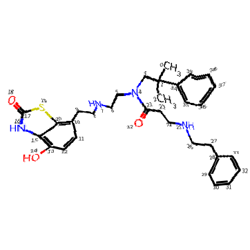 CC(C)(CN(CCNCCc1ccc(O)c2[nH]c(=O)sc12)C(=O)CCNCCc1ccccc1)c1ccccc1